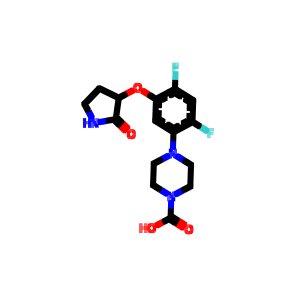 O=C1NCCC1Oc1cc(N2CCN(C(=O)O)CC2)c(F)cc1F